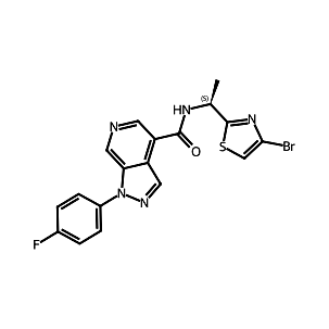 C[C@H](NC(=O)c1cncc2c1cnn2-c1ccc(F)cc1)c1nc(Br)cs1